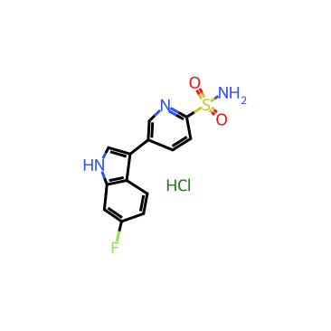 Cl.NS(=O)(=O)c1ccc(-c2c[nH]c3cc(F)ccc23)cn1